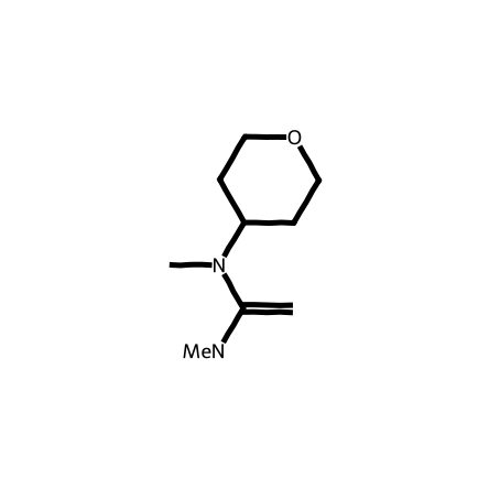 C=C(NC)N(C)C1CCOCC1